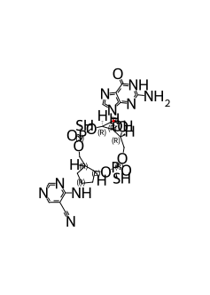 N#Cc1cncnc1N[C@@H]1C[C@@H]2CO[P@](=O)(S)O[C@@H]3[C@H](O)[C@@H](CO[P@@](=O)(S)O[C@H]2C1)O[C@H]3n1cnc2c(=O)[nH]c(N)nc21